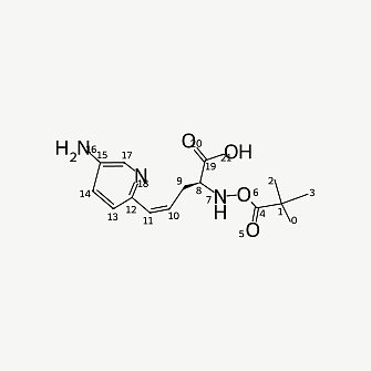 CC(C)(C)C(=O)ON[C@@H](C/C=C\c1ccc(N)cn1)C(=O)O